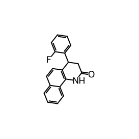 O=C1CC(c2ccccc2F)c2ccc3ccccc3c2N1